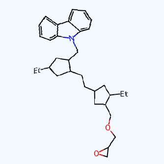 CCC1CC(CCC2CC(CC)C(COCC3CO3)C2)C(Cn2c3ccccc3c3ccccc32)C1